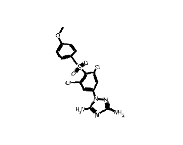 COc1ccc(S(=O)(=O)c2c(Cl)cc(-n3nc(N)nc3N)cc2Cl)cc1